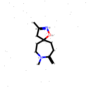 C=C1CCC2(CCN1C)CC(C)=NO2